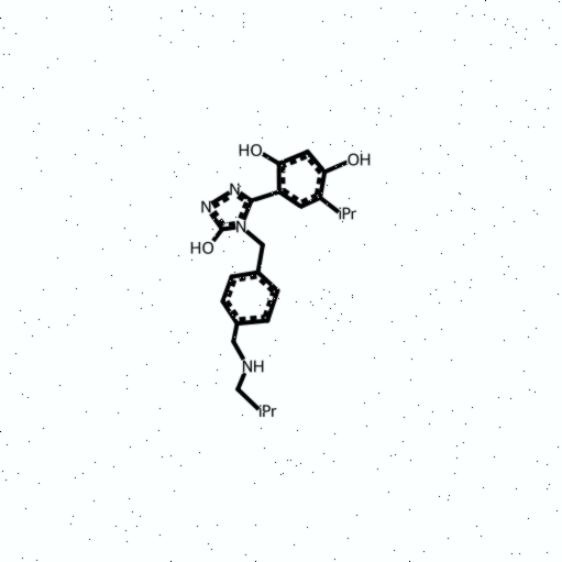 CC(C)CNCc1ccc(Cn2c(O)nnc2-c2cc(C(C)C)c(O)cc2O)cc1